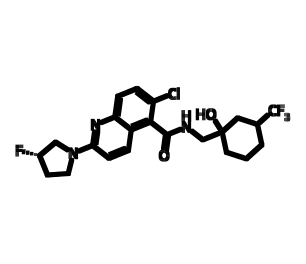 O=C(NCC1(O)CCCC(C(F)(F)F)C1)c1c(Cl)ccc2nc(N3CC[C@H](F)C3)ccc12